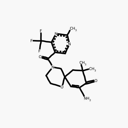 Cc1ncc(C(=O)N2CCOC3(C=C(N)C(=O)C(C)(C)C3)C2)c(C(F)(F)F)n1